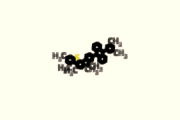 Cc1cc(C)cc(-c2c3ccccc3c(-c3ccc4c(c3)C(C)(C)c3cc(C)c5c(sc6cc(C)cc(C)c65)c3-4)c3ccccc23)c1